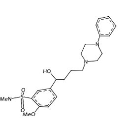 CNS(=O)(=O)c1cc(C(O)CCCN2CCN(c3ccccc3)CC2)ccc1OC